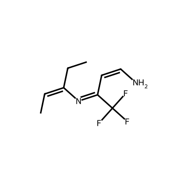 C\C=C(CC)/N=C(\C=C/N)C(F)(F)F